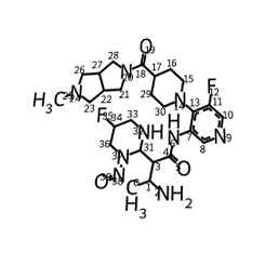 CC(N)C(C(=O)Nc1cncc(F)c1N1CCC(C(=O)N2CC3CN(C)CC3C2)CC1)C1NCC(F)CN1N=O